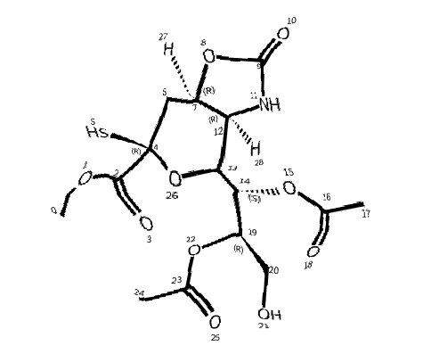 COC(=O)[C@]1(S)C[C@H]2OC(=O)N[C@H]2C([C@H](OC(C)=O)[C@@H](CO)OC(C)=O)O1